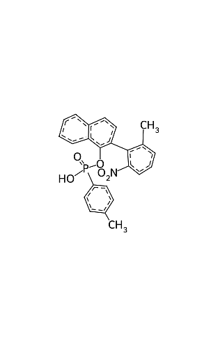 Cc1ccc(P(=O)(O)Oc2c(-c3c(C)cccc3[N+](=O)[O-])ccc3ccccc23)cc1